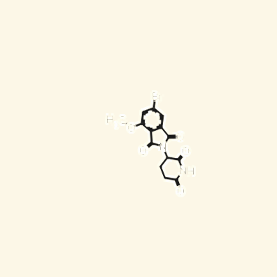 COc1cc(Br)cc2c1C(=O)N(C1CCC(=O)NC1=O)C2=O